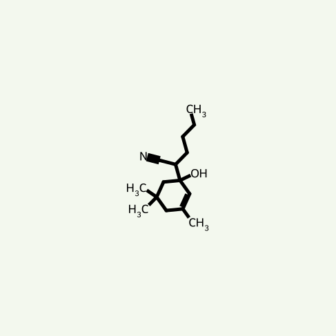 CCCCC(C#N)C1(O)C=C(C)CC(C)(C)C1